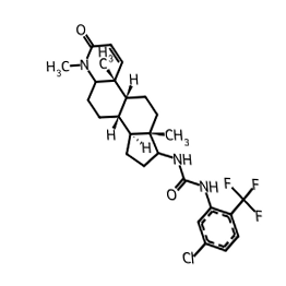 CN1C(=O)C=C[C@@]2(C)C1CC[C@@H]1[C@H]2CC[C@]2(C)C(NC(=O)Nc3cc(Cl)ccc3C(F)(F)F)CC[C@@H]12